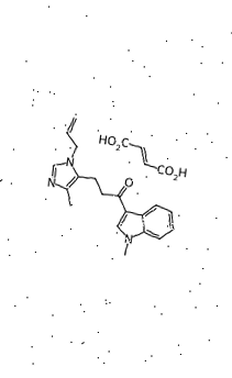 C=CCn1cnc(C)c1CCC(=O)c1cn(C)c2ccccc12.O=C(O)C=CC(=O)O